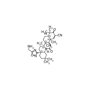 CC1(C)CC[C@]2(c3noc(CN)n3)CC[C@]3(C)[C@H](C(=O)C=C4[C@@]5(C)C=C(C#N)C(=O)C(C)(C)[C@@H]5CC[C@]43C)C2C1